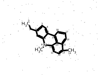 CCc1ccc2c(c1)N(C)c1ccc(C)c3cccc-2c13